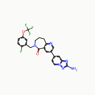 Nc1nc2cc(-c3cnc4c(c3)C(=O)N(Cc3cc(OC(F)(F)F)ccc3F)CCC4)ccn2n1